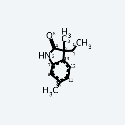 CCC1(C)C(=O)Nc2cc(C)ccc21